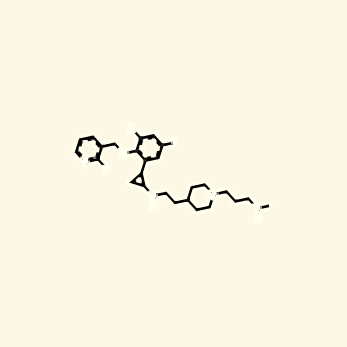 CNCCCN1CCC(CCNC2CC2c2cc(F)cc(F)c2OCc2cccnc2F)CC1